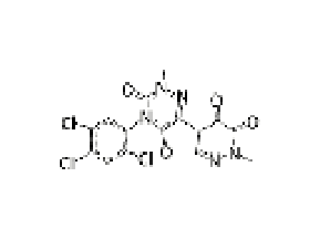 CN1N=CC(c2nn(C)c(=O)n(-c3cc(Cl)c(Cl)cc3Cl)c2=O)C(=O)C1=O